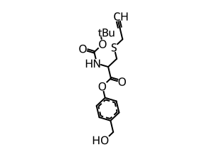 C#CCSCC(NC(=O)OC(C)(C)C)C(=O)Oc1ccc(CO)cc1